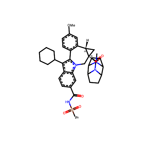 COc1ccc2c(c1)[C@@H]1C[C@]1(C(=O)N1C3CCC1C1CCC3N1C)Cn1c-2c(C2CCCCC2)c2ccc(C(=O)NS(=O)(=O)C(C)C)cc21